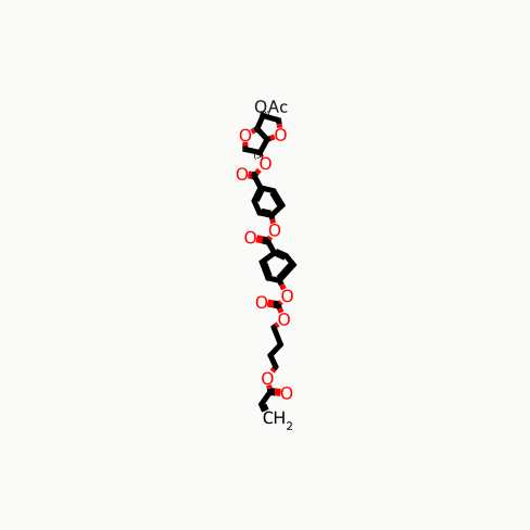 C=CC(=O)OCCCCOC(=O)Oc1ccc(C(=O)Oc2ccc(C(=O)O[C@H]3COC4C3OC[C@H]4OC(C)=O)cc2)cc1